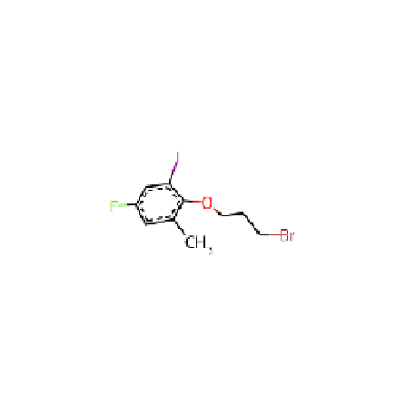 Cc1cc(F)cc(I)c1OCCCBr